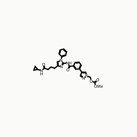 COC(=O)OCn1cc(-c2cccc(C(=O)Nc3nc(CCCC(=O)NC4CC4)cn3-c3ccccc3)c2)cn1